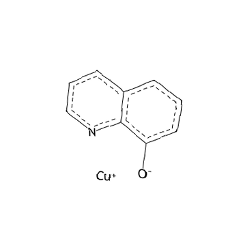 [Cu+].[O-]c1cccc2cccnc12